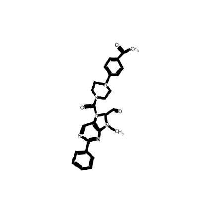 CC(=O)c1ccc(N2CCN(C(=O)N3c4cnc(-c5ccccc5)nc4N(C)C3C=O)CC2)cc1